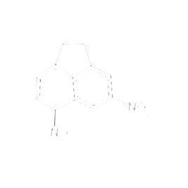 O=[N+]([O-])c1cc2c3c(ccc([N+](=O)[O-])c3c1)CC2